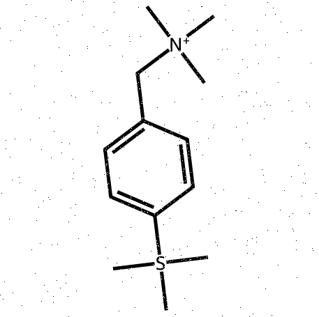 C[N+](C)(C)Cc1ccc(S(C)(C)C)cc1